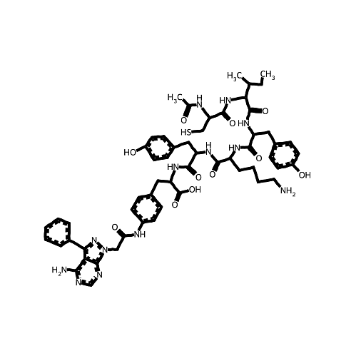 CCC(C)C(NC(=O)C(CS)NC(C)=O)C(=O)NC(Cc1ccc(O)cc1)C(=O)NC(CCCCN)C(=O)NC(Cc1ccc(O)cc1)C(=O)NC(Cc1ccc(NC(=O)Cn2nc(-c3ccccc3)c3c(N)ncnc32)cc1)C(=O)O